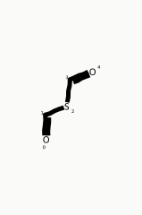 O=CSC=O